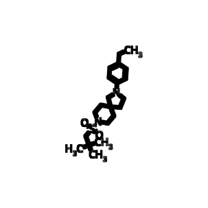 CCc1ccc(N2CCC3(CCN(S(=O)(=O)CC(C)(C)C)CC3)C2)cc1